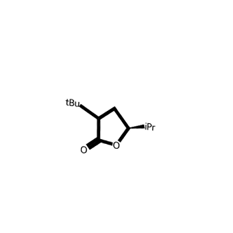 CC(C)[C@@H]1CC(C(C)(C)C)C(=O)O1